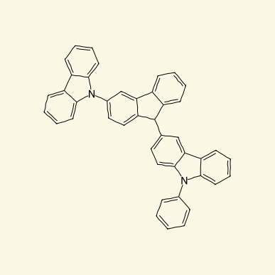 c1ccc(-n2c3ccccc3c3cc(C4c5ccccc5-c5cc(-n6c7ccccc7c7ccccc76)ccc54)ccc32)cc1